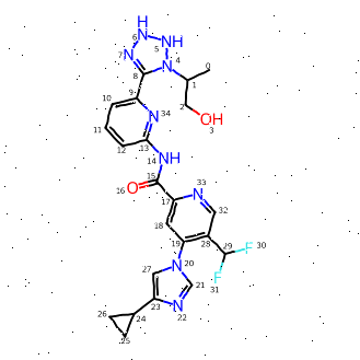 CC(CO)N1NNN=C1c1cccc(NC(=O)c2cc(-n3cnc(C4CC4)c3)c(C(F)F)cn2)n1